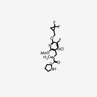 COc1nc(OCC2CC2(F)F)c(F)cc1CN(C)C(=O)[C@@H]1CCCN1.Cl